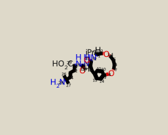 CC(C)[C@H]1COCCCCOc2ccc(cc2)C[C@@H](NC(=O)N[C@@H](CCCC(C)(C)N)C(=O)O)C(=O)N1